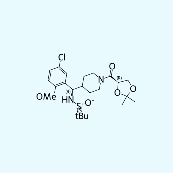 COc1ccc(Cl)cc1[C@H](N[S@@+]([O-])C(C)(C)C)C1CCN(C(=O)[C@H]2COC(C)(C)O2)CC1